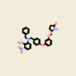 Cc1c(N(Cc2ccccc2)Cc2ccc(Oc3cccc(OC[C@@H]4CCC(=O)N4)c3)cc2)cccc1[N+](=O)[O-]